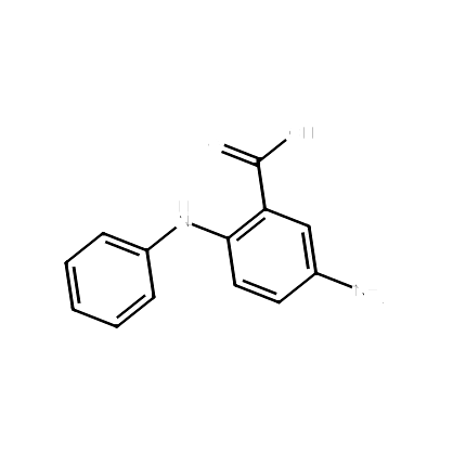 Nc1ccc(Nc2ccccc2)c(C(=O)O)c1